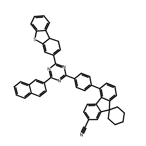 N#Cc1ccc2c(c1)C1(CCCCC1)c1cccc(-c3ccc(-c4nc(C5=CCC6C(=C5)Sc5ccccc56)nc(-c5ccc6ccccc6c5)n4)cc3)c1-2